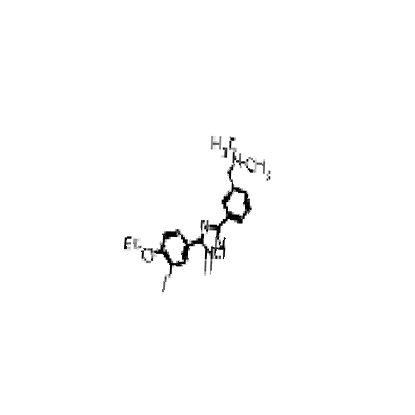 CCOc1ccc(-c2nc(-c3cccc(CN(C)C)c3)n[nH]2)cc1F.Cl